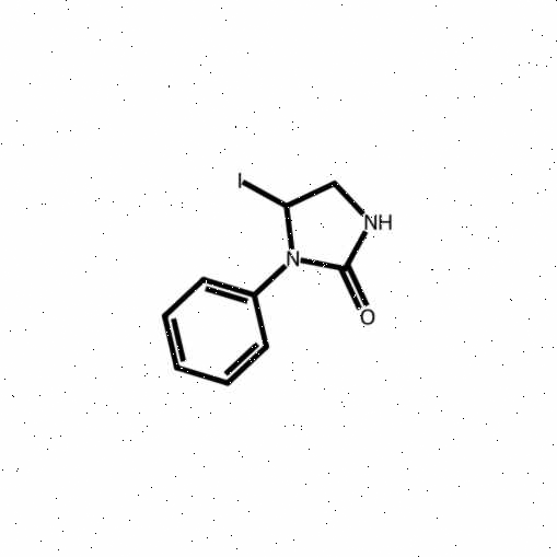 O=C1NCC(I)N1c1ccccc1